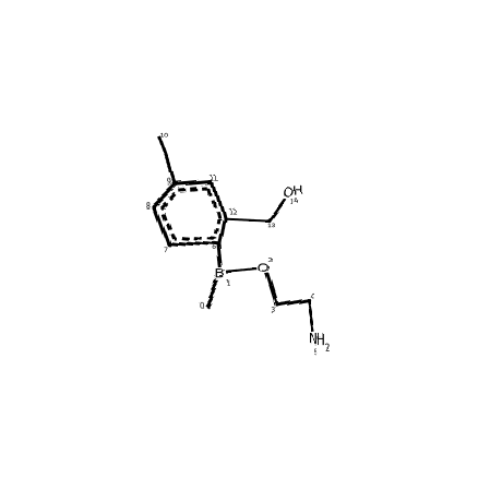 CB(OCCN)c1ccc(C)cc1CO